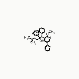 COc1ncc(-c2ccccc2)cc1C(C1=CC=CCC1C)C(O)(CCN(C)C)c1ccccc1